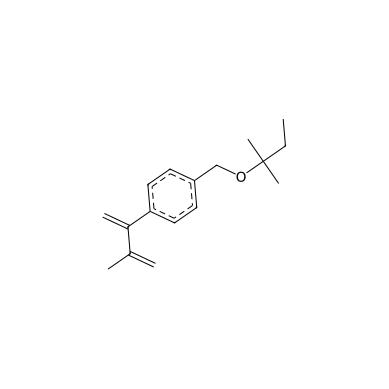 C=C(C)C(=C)c1ccc(COC(C)(C)CC)cc1